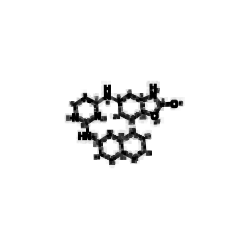 O=c1[nH]c2cc(Nc3ccnc(Nc4ccc5ccccc5c4)n3)ccc2o1